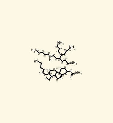 CC(C)CCC[C@@H](C)[C@H]1CCC2C3CC=C4CC(OC(N)=O)CC[C@]4(C)C3CC[C@@]21C.NCCCCNCCC(CCCN)N(CCCN)CCCN